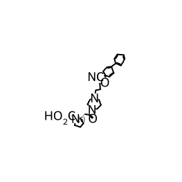 N#CC1(OCCCN2CCCN(C(=O)C[C@@H]3CCCN3C(=O)O)CC2)C=CC(c2ccccc2)=CC1